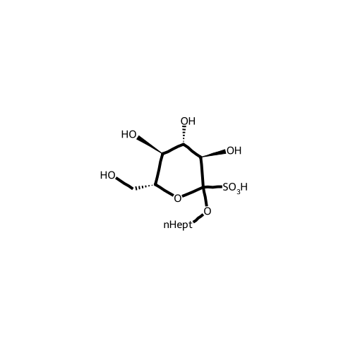 CCCCCCCOC1(S(=O)(=O)O)O[C@H](CO)[C@@H](O)[C@H](O)[C@H]1O